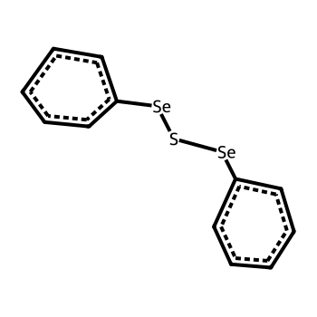 c1ccc([Se]S[Se]c2ccccc2)cc1